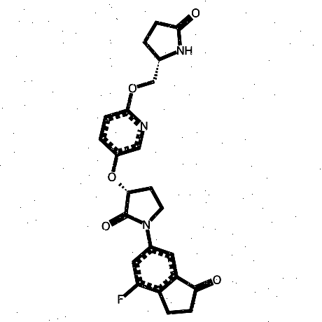 O=C1CC[C@@H](COc2ccc(O[C@@H]3CCN(c4cc(F)c5c(c4)C(=O)CC5)C3=O)cn2)N1